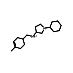 CC1=CCC(CNC2CCN(C3CCCCC3)C2)CC1